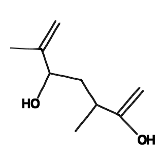 C=C(O)C(C)CC(O)C(=C)C